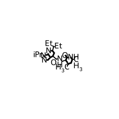 CCC(CC)c1cc(C(=O)NCc2c(C)cc(C)[nH]c2=O)c2cnn(C(C)C)c2n1